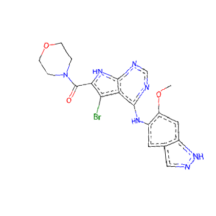 COc1cc2[nH]ncc2cc1Nc1ncnc2[nH]c(C(=O)N3CCOCC3)c(Br)c12